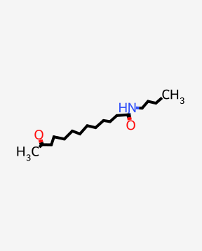 CCCCNC(=O)CCCCCCCCCCC(C)=O